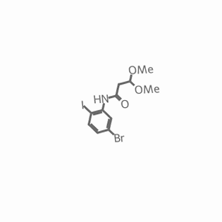 COC(CC(=O)Nc1cc(Br)ccc1I)OC